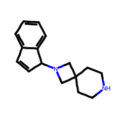 C1=CC(N2CC3(CCNCC3)C2)c2ccccc21